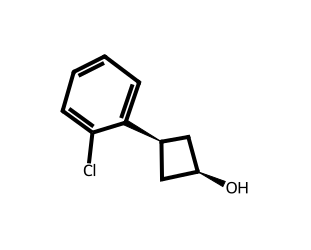 O[C@H]1C[C@@H](c2ccccc2Cl)C1